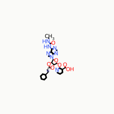 CCNC(=O)Nc1ncnc2c1ncn2C1OC(Oc2ncccc2C(=O)O)C2O[C@H](/C=C/c3ccccc3)OC21